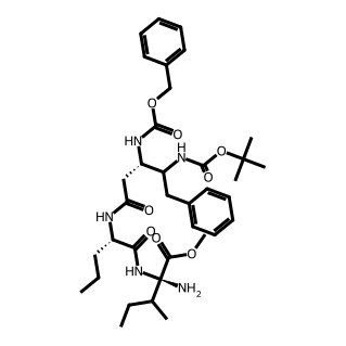 CCC[C@H](NC(=O)C[C@H](NC(=O)OCc1ccccc1)C(Cc1ccccc1)NC(=O)OC(C)(C)C)C(=O)N[C@](N)(C(=O)OC)C(C)CC